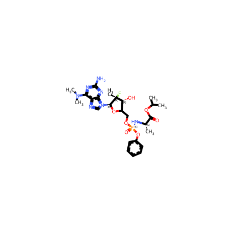 CC(C)OC(=O)[C@H](C)N[P@](=O)(OCC1O[C@@H](n2cnc3c(N(C)C)nc(N)nc32)[C@](C)(F)[C@@H]1O)Oc1ccccc1